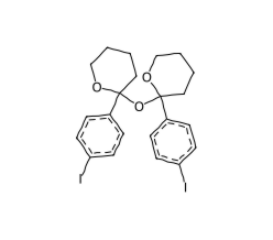 Ic1ccc(C2(OC3(c4ccc(I)cc4)CCCCO3)CCCCO2)cc1